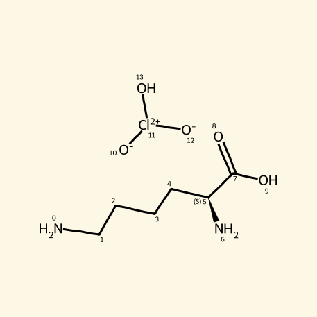 NCCCC[C@H](N)C(=O)O.[O-][Cl+2]([O-])O